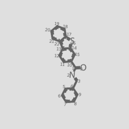 O=C(/N=C/c1ccccc1)c1ccc2c(c1)sc1ccccc12